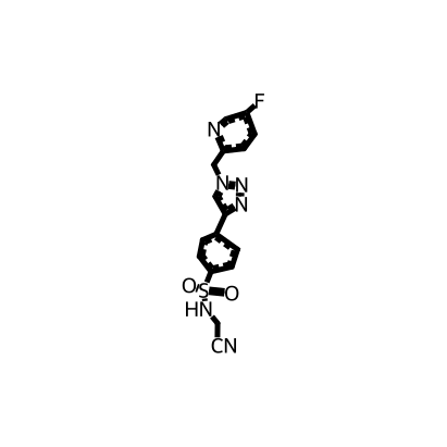 N#CCNS(=O)(=O)c1ccc(-c2cn(Cc3ccc(F)cn3)nn2)cc1